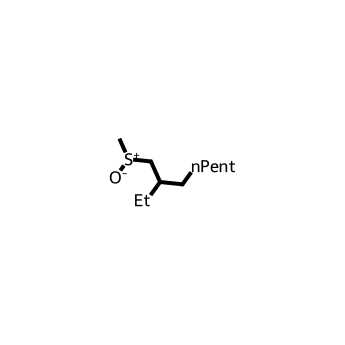 CCCCCCC(CC)C[S+](C)[O-]